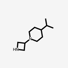 CC(C)C1CCN(C2CNC2)CC1